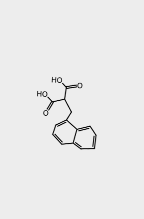 O=C(O)C(Cc1cccc2ccccc12)C(=O)O